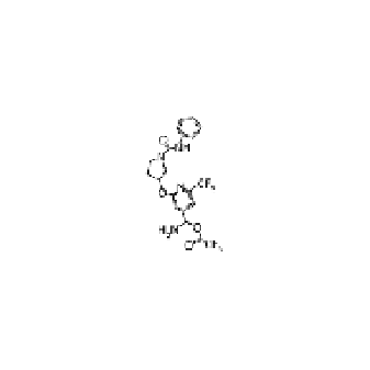 NC(OC(=O)C(F)(F)F)c1cc(O[C@H]2CCN(C(=O)Nc3ccccc3)C2)nc(C(F)(F)F)c1